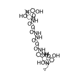 CN1CC[C@]23c4c5ccc(O)c4O[C@H]2[C@@H](NC(=O)COCC(=O)NCNC(=O)COCC(=O)Nc2cccc4c6c([nH]c24)[C@@H]2Oc4c(O)ccc7c4[C@@]24CCN(CC2CC2)C(C7)[C@]4(O)C6)CC[C@@]3(O)C1C5